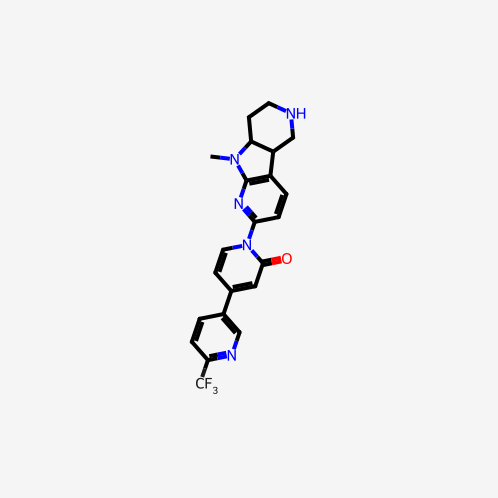 CN1c2nc(-n3ccc(-c4ccc(C(F)(F)F)nc4)cc3=O)ccc2C2CNCCC21